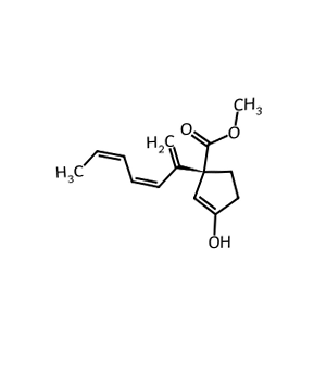 C=C(/C=C\C=C/C)[C@]1(C(=O)OC)C=C(O)CC1